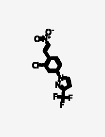 O=[N+]([O-])C=Cc1ccc(-n2ccc(C(F)(F)F)n2)cc1Cl